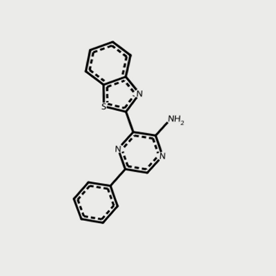 Nc1ncc(-c2ccccc2)nc1-c1nc2ccccc2s1